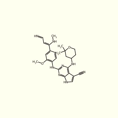 CN/C(=C\C=N)c1ccc(Nc2nc(NC3CCOC(C)(C)C3)c3c(C#N)c[nH]c3n2)c(OC)c1